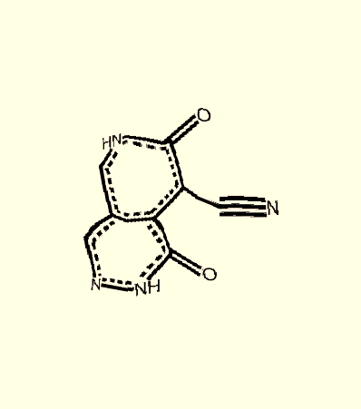 N#Cc1c(=O)[nH]cc2cn[nH]c(=O)c12